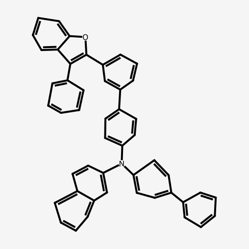 c1ccc(-c2ccc(N(c3ccc(-c4cccc(-c5oc6ccccc6c5-c5ccccc5)c4)cc3)c3ccc4ccccc4c3)cc2)cc1